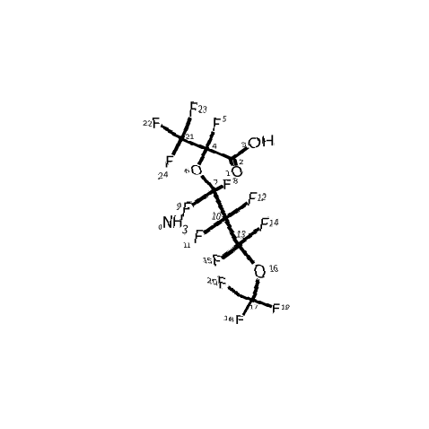 N.O=C(O)C(F)(OC(F)(F)C(F)(F)C(F)(F)OC(F)(F)F)C(F)(F)F